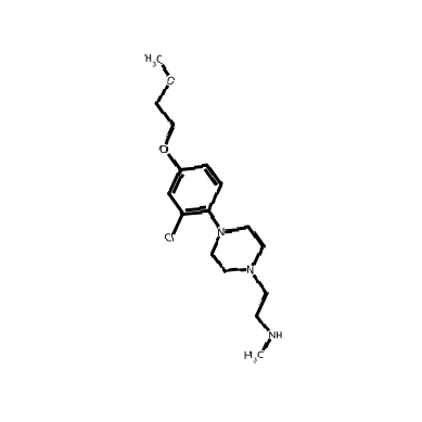 CNCCN1CCN(c2ccc(OCCOC)cc2Cl)CC1